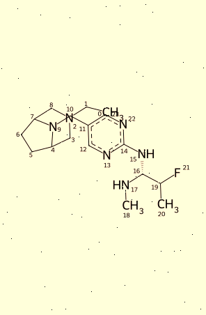 CCN1CC2CCC(C1)N2Cc1cnc(N[C@@H](NC)C(C)F)nc1